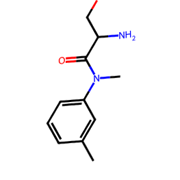 Cc1cccc(N(C)C(=O)C(N)CO)c1